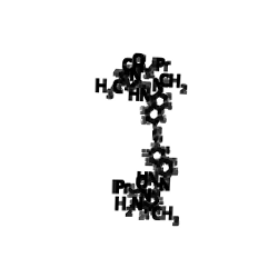 C=Nc1ccc2cc(C#Cc3ccc4c(ccc5nc([C@@H]6C[C@@]7(C)C[C@@]7(N)N6C(=O)CC(C)C)[nH]c54)c3)ccc2c1NC[C@@H]1C[C@@]2(C)C[C@@]2(C)N1C(=O)CC(C)C